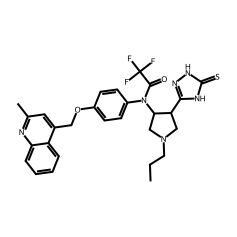 CCCN1CC(c2n[nH]c(=S)[nH]2)C(N(C(=O)C(F)(F)F)c2ccc(OCc3cc(C)nc4ccccc34)cc2)C1